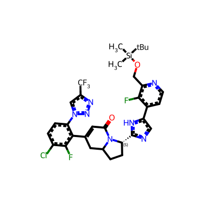 CC(C)(C)[Si](C)(C)OCc1nccc(-c2cnc([C@@H]3CCC4CC(c5c(-n6cc(C(F)(F)F)nn6)ccc(Cl)c5F)=CC(=O)N43)[nH]2)c1F